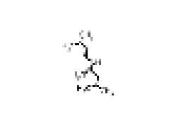 CC(C)C=CN[C@H](N)CC(C)C